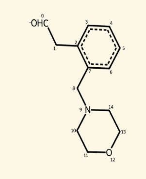 O=[C]Cc1ccccc1CN1CCOCC1